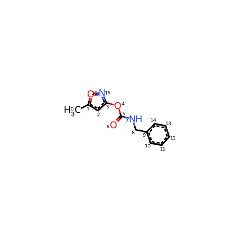 Cc1cc(OC(=O)NCc2ccccc2)no1